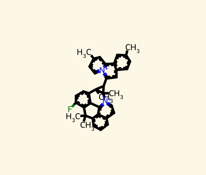 Cc1ccc2cc(C3C4(C)c5ccc(F)c6c5-c5c7c(cccc7cc[n+]5C34C)C6(C)C)[n+]3ccc(C)cc3c2c1